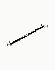 O=C(O)CCCCCCCCCCCCCSCCCCCCCCCCCCCC(=O)O